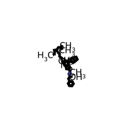 CCC1CC(CC(C)C)N1CCCOc1nc(N2CC3CCC(C2)N3)c2sc(/C(C)=C/C(O)Cc3ccccc3)cc2n1